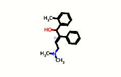 Cc1ccccc1C(O)/C(=C/CN(C)C)c1ccccc1